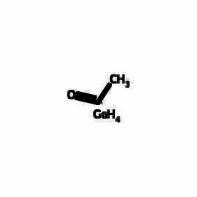 C[C]=O.[GeH4]